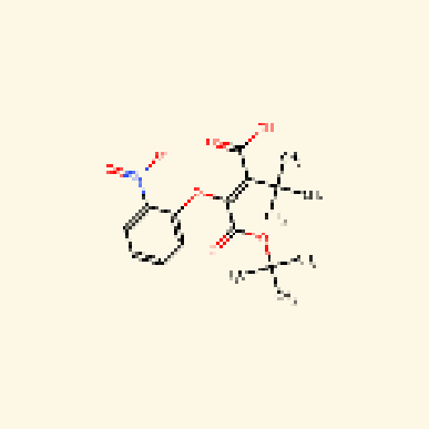 CC(C)(C)OC(=O)C(Oc1ccccc1[N+](=O)[O-])=C(C(=O)O)C(C)(C)C